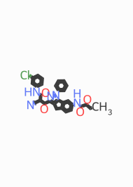 CCC(=O)C(=O)Nc1ccc2c(c1)-c1c(c(C(=O)C(C#N)C(=O)Nc3cccc(Cl)c3)nn1-c1ccccc1)C2